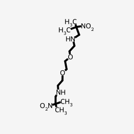 CC(C)(CNCCOCCOCCNCC(C)(C)[N+](=O)[O-])[N+](=O)[O-]